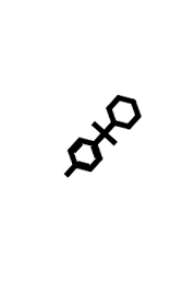 Cc1ccc(C(C)(C)C2CCCCC2)cc1